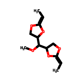 C/C=C1/OCC(C(OC)C2CO/C(=C\C)O2)O1